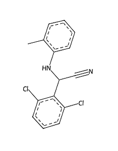 Cc1ccccc1NC(C#N)c1c(Cl)cccc1Cl